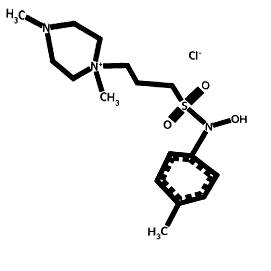 Cc1ccc(N(O)S(=O)(=O)CCC[N+]2(C)CCN(C)CC2)cc1.[Cl-]